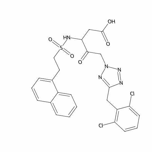 O=C(O)CC(NS(=O)(=O)CCc1cccc2ccccc12)C(=O)Cn1nnc(Cc2c(Cl)cccc2Cl)n1